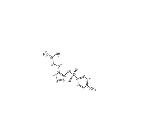 Cc1ccc(S(=O)(=O)Oc2ccsc2OCC(C)O)cc1